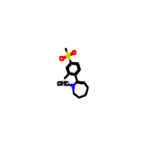 Cc1cc(S(C)(=O)=O)ccc1C1=CCCCCN1C=O